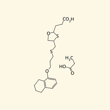 CCC(=O)O.O=C(O)CCC1OCC(CSCCCOc2cccc3c2CCCC3)S1